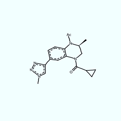 CC(=O)N1c2ccc(-c3cn(C)nn3)cc2N(C(=O)C2CC2)C[C@@H]1C